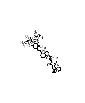 C=C1/C(=C\C=C2/CCC[C@]3(C)[C@@H]([C@H](C)/C=C/C(=O)CCC4(C5(CCC)OCCO5)CC4)CC[C@@H]23)CC(O[Si](C)(C)C(C)(C)C)CC1O[Si](C)(C)C(C)(C)C